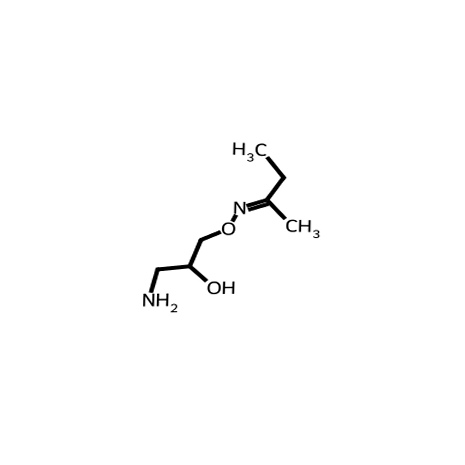 CCC(C)=NOCC(O)CN